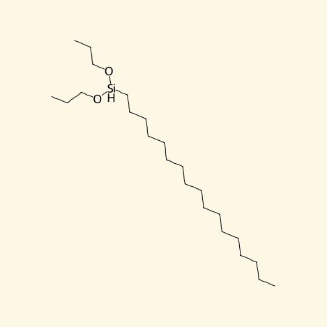 CCCCCCCCCCCCCCCCC[SiH](OCCC)OCCC